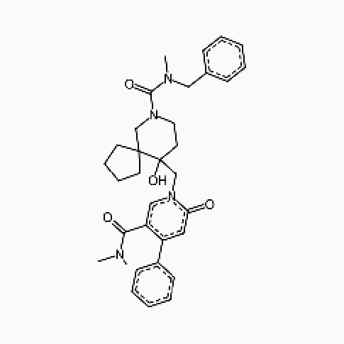 CN(C)C(=O)c1cn(CC2(O)CCN(C(=O)N(C)Cc3ccccc3)CC23CCCC3)c(=O)cc1-c1ccccc1